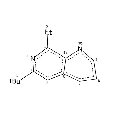 CCc1nc(C(C)(C)C)cc2cccnc12